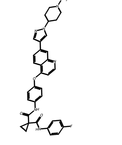 O=C(O)N1CCC(n2cc(-c3ccc4c(Oc5ccc(NC(=O)C6(C(=O)Nc7ccc(F)cc7)CC6)cc5)ccnc4c3)cn2)CC1